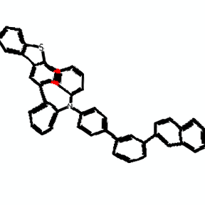 c1ccc(N(c2ccc(-c3cccc(-c4ccc5ccccc5c4)c3)cc2)c2ccccc2-c2ccc3sc4ccccc4c3c2)cc1